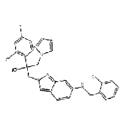 OC(Cn1cncn1)(Cn1cc2ccc(NCc3ccccc3Cl)cc2n1)c1ccc(F)cc1F